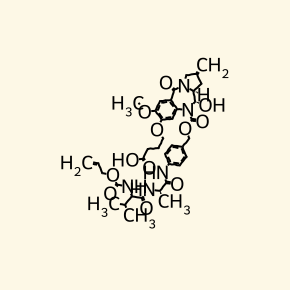 C=CCOC(=O)N[C@H](C(=O)N[C@@H](C)C(=O)Nc1ccc(COC(=O)N2c3cc(OCCCC(=O)O)c(OC)cc3C(=O)N3CC(=C)C[C@H]3[C@@H]2O)cc1)C(C)C